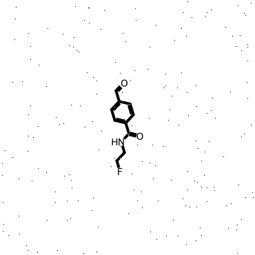 O=Cc1ccc(C(=O)NCCF)cc1